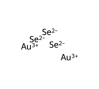 [Au+3].[Au+3].[Se-2].[Se-2].[Se-2]